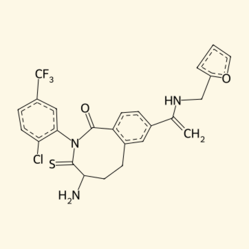 C=C(NCc1ccco1)c1ccc2c(c1)CCC(N)C(=S)N(c1cc(C(F)(F)F)ccc1Cl)C2=O